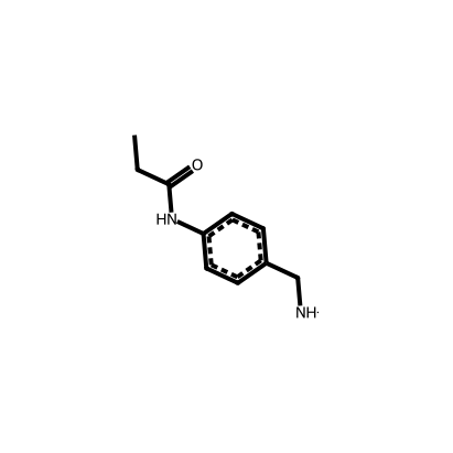 CCC(=O)Nc1ccc(C[NH])cc1